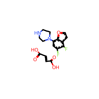 Fc1cc(N2CCNCC2)c2occc2c1F.O=C(O)/C=C/C(=O)O